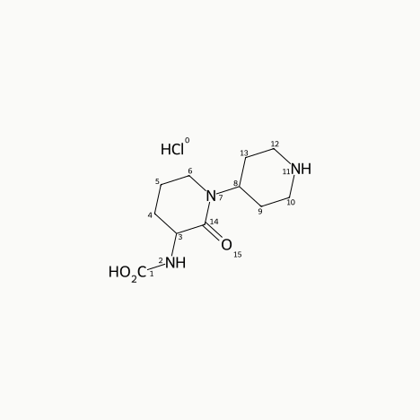 Cl.O=C(O)NC1CCCN(C2CCNCC2)C1=O